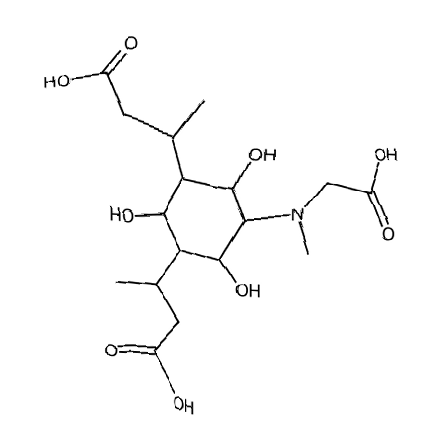 CC(CC(=O)O)C1C(O)C(C(C)CC(=O)O)C(O)C(N(C)CC(=O)O)C1O